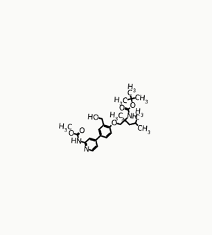 COC(=O)Nc1cc(-c2ccc(OC[C@](C)(CC(C)C)NC(=O)OC(C)(C)C)c(CO)c2)ccn1